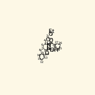 CCOCOCC(CC(Cc1ccccc1)C(=O)NO)NC(=O)c1ccccc1